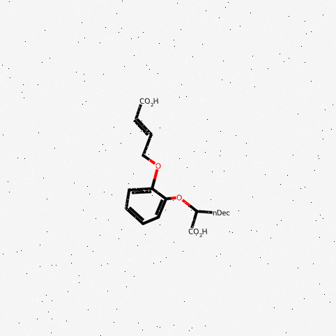 CCCCCCCCCCC(Oc1ccccc1OC/C=C/C(=O)O)C(=O)O